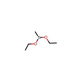 CC[O][Ti]([CH3])[O]CC